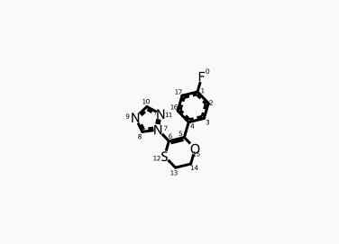 Fc1ccc(C2=C(n3cncn3)SCCO2)cc1